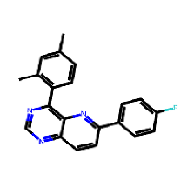 Cc1ccc(-c2ncnc3ccc(-c4ccc(F)cc4)nc23)c(C)c1